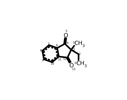 CCC1(C)C(=O)c2ccccc2C1=O